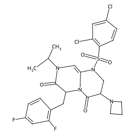 CC(C)N1C=C2N(C(=O)C(N3CCC3)CN2S(=O)(=O)c2ccc(Cl)cc2Cl)C(Cc2ccc(F)cc2F)C1=O